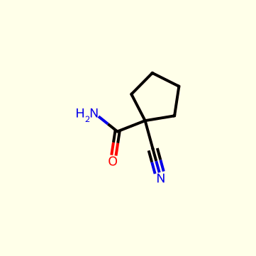 N#CC1(C(N)=O)CCCC1